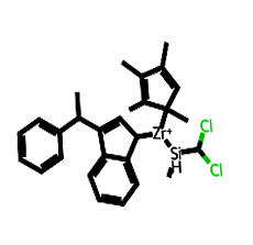 CC1=C[C](C)([Zr+]([CH]2C=C(C(C)c3ccccc3)c3ccccc32)[SiH](C)C(Cl)Cl)C(C)=C1C